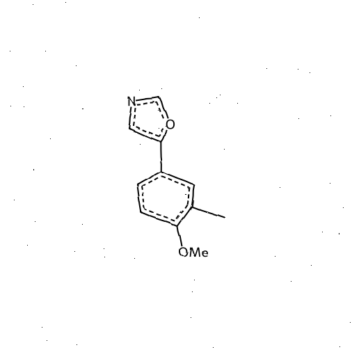 COc1ccc(-c2cnco2)cc1C